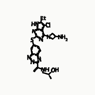 C=C(NC[C@H](C)O)c1nnc2cc(Sc3nc(N4CC(N)C4)c4c(Cl)c(CC)[nH]c4n3)ccc2n1